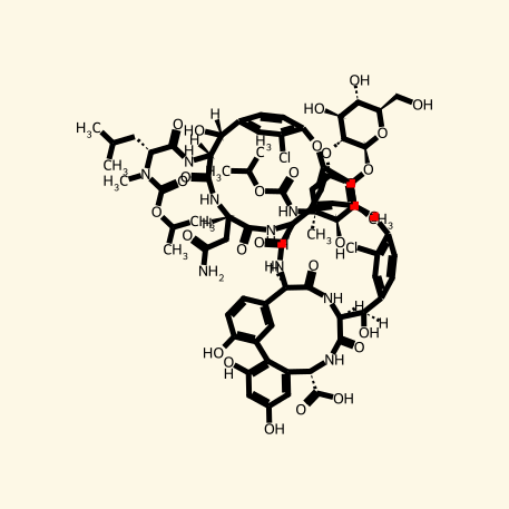 CC(C)C[C@H](C(=O)N[C@H]1C(=O)N[C@@H](CC(N)=O)C(=O)N[C@H]2C(=O)N[C@H]3C(=O)N[C@H](C(=O)N[C@H](C(=O)O)c4cc(O)cc(O)c4-c4cc3ccc4O)[C@H](O)c3ccc(c(Cl)c3)Oc3cc2cc(c3O[C@@H]2O[C@H](CO)[C@@H](O)[C@H](O)[C@H]2O[C@H]2C[C@](C)(NC(=O)OC(C)C)[C@H](O)[C@H](C)O2)Oc2ccc(cc2Cl)[C@H]1O)N(C)C(=O)OC(C)C